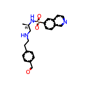 C[C@H](CNCCc1ccc(C=O)cc1)NS(=O)(=O)c1ccc2cnccc2c1